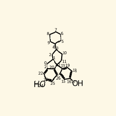 CC1CC(C2CCCCC2)CCC1(c1ccc(O)cc1)c1ccc(O)cc1